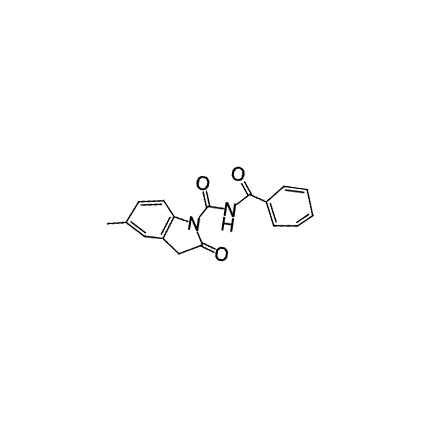 Cc1ccc2c(c1)CC(=O)N2C(=O)NC(=O)c1ccccc1